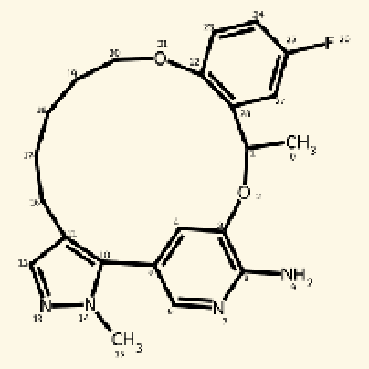 CC1Oc2cc(cnc2N)-c2c(cnn2C)CCCCCOc2ccc(F)cc21